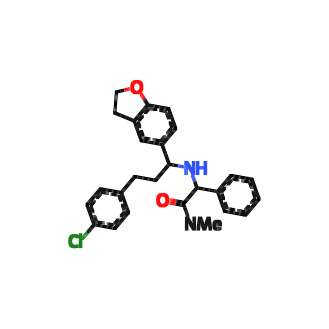 CNC(=O)C(NC(CCc1ccc(Cl)cc1)c1ccc2c(c1)CCO2)c1ccccc1